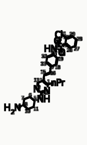 CCCc1nc(N[C@H]2CC[C@H](N)CC2)ncc1/C=C/c1ccc(NS(=O)(=O)c2ccccc2Cl)cc1